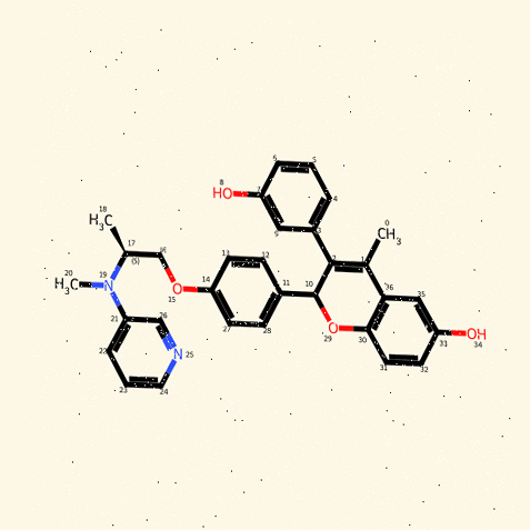 CC1=C(c2cccc(O)c2)C(c2ccc(OC[C@H](C)N(C)c3cccnc3)cc2)Oc2ccc(O)cc21